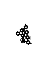 Cc1cccc(-c2ccc(-c3ccccc3-c3cc(B4OC(C)(C)C(C)(C)O4)cc(-c4ccccc4-c4ccc(-c5cccc(C)c5)nc4)c3)cn2)c1